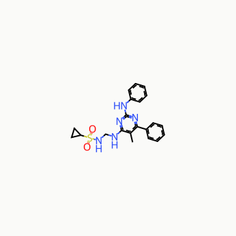 Cc1c(NCNS(=O)(=O)C2CC2)nc(Nc2ccccc2)nc1-c1ccccc1